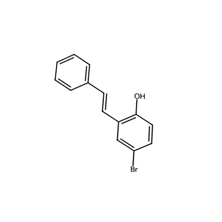 Oc1ccc(Br)cc1C=Cc1ccccc1